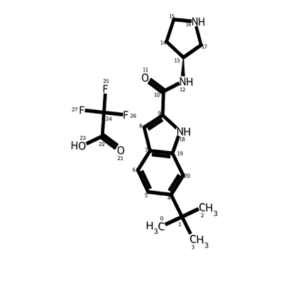 CC(C)(C)c1ccc2cc(C(=O)N[C@H]3CCNC3)[nH]c2c1.O=C(O)C(F)(F)F